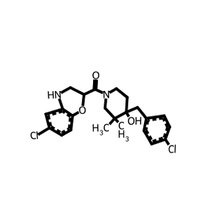 CC1(C)CN(C(=O)C2CNc3cc(Cl)ccc3O2)CCC1(O)Cc1ccc(Cl)cc1